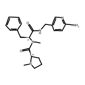 CN1CCC[C@@H]1C(=O)N(C)[C@@H](Cc1ccccc1)C(=O)NCc1ccc(N)nc1